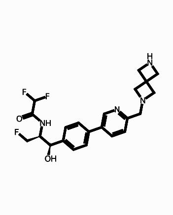 O=C(N[C@H](CF)[C@H](O)c1ccc(-c2ccc(CN3CC4(CNC4)C3)nc2)cc1)C(F)F